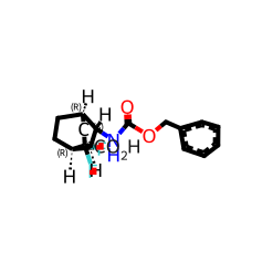 O=C(N[C@H]1[C@@H]2CC[C@H]([C@@H]1C(=O)O)C(F)(F)C2)OCc1ccccc1